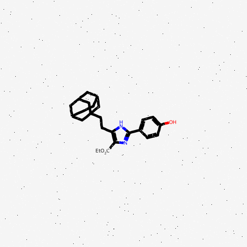 CCOC(=O)c1nc(-c2ccc(O)cc2)[nH]c1CCC12CC3CC(CC(C3)C1)C2